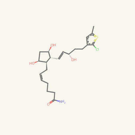 Cc1cc(CC[C@H](O)/C=C/[C@@H]2[C@@H](C/C=C\CCCC(N)=O)[C@@H](O)C[C@H]2O)c(Cl)s1